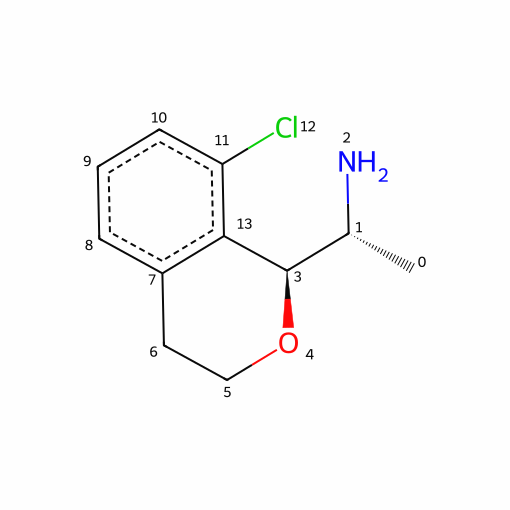 C[C@@H](N)[C@H]1OCCc2cccc(Cl)c21